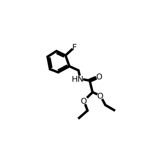 CCOC(OCC)C(=O)NCc1ccccc1F